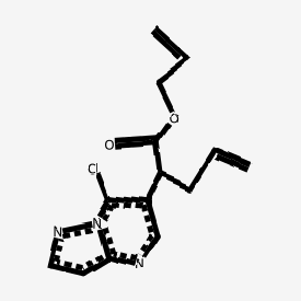 C=CCOC(=O)C(CC=C)c1cnc2ccnn2c1Cl